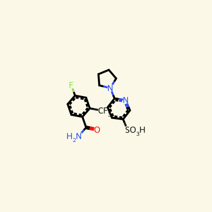 NC(=O)c1ccc(F)cc1C(F)(F)F.O=S(=O)(O)c1ccc(N2CCCC2)nc1